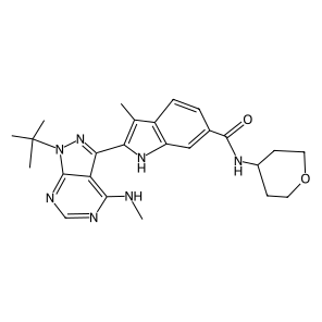 CNc1ncnc2c1c(-c1[nH]c3cc(C(=O)NC4CCOCC4)ccc3c1C)nn2C(C)(C)C